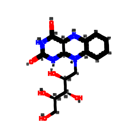 O=c1nc2n(C[C@H](O)[C@H](O)[C@H](O)CO)c3ccccc3nc-2c(=O)[nH]1